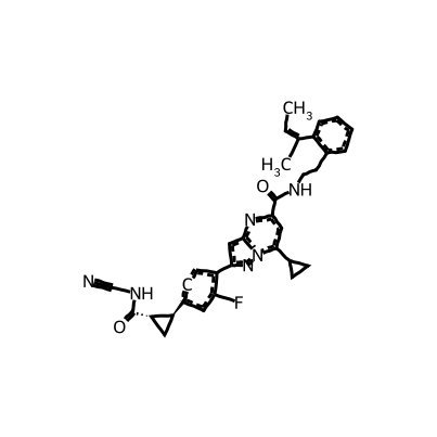 C/C=C(/C)c1ccccc1CCNC(=O)c1cc(C2CC2)n2nc(-c3ccc([C@H]4C[C@@H]4C(=O)NC#N)cc3F)cc2n1